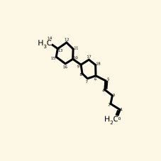 C=CCCC=CC1CCC(C2CCC(C)CC2)CC1